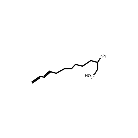 C=CC=CCCCCCCC(CCC)CC(=O)O